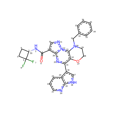 O=C(N[C@H]1CCC1(F)F)c1cnn2c3c(c(-c4c[nH]c5ncccc45)nc12)OCCN3Cc1ccccc1